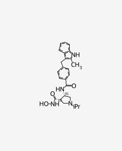 Cc1[nH]c2ccccc2c1Cc1ccc(C(=O)N[C@@H]2CN(C(C)C)C[C@@H]2C(=O)NO)cc1